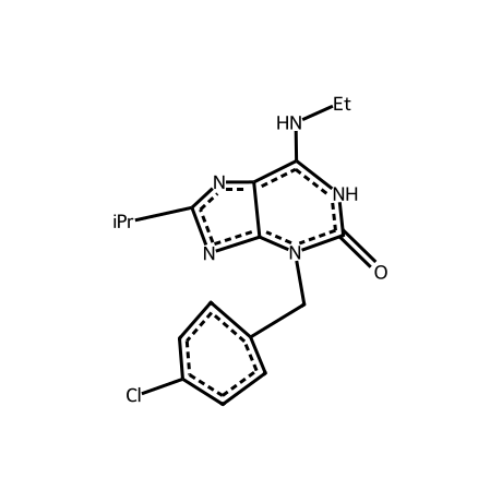 CCNc1[nH]c(=O)n(Cc2ccc(Cl)cc2)c2nc(C(C)C)nc1-2